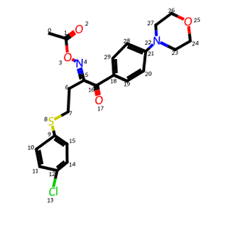 CC(=O)O/N=C(\CCSc1ccc(Cl)cc1)C(=O)c1ccc(N2CCOCC2)cc1